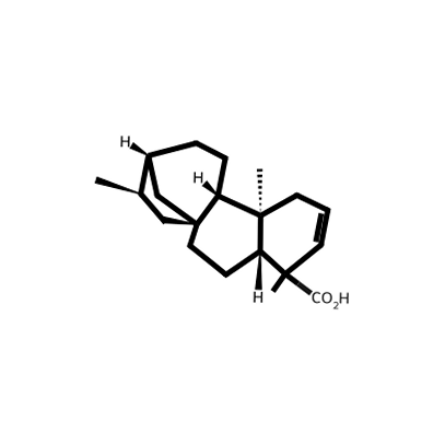 C[C@@H]1C[C@]23CC[C@H]4C(C)(C(=O)O)C=CC[C@]4(C)[C@H]2CC[C@@H]1C3